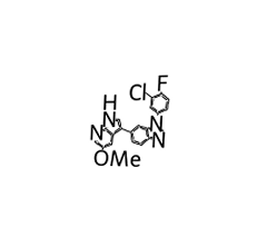 COc1cnc2[nH]cc(-c3ccc4ncn(-c5ccc(F)c(Cl)c5)c4c3)c2c1